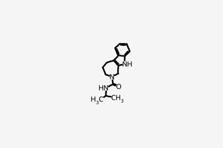 CC(C)NC(=O)N1CCCc2c([nH]c3ccccc23)C1